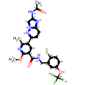 COc1nc(C)c(-c2ccc3nc(NC(C)=O)cn3n2)cc1C(=O)NCc1cc(OC(F)(F)F)ccc1F